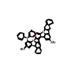 CC(C)(C)c1cc(N(c2ccccc2)c2ccccc2)c2c(c1)c1c3ccccc3cc3c4c5c6cc(C(C)(C)C)cc7c8cc9ccccc9cc8n(c5cnc4n2c31)c76